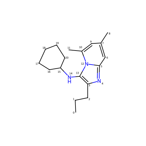 CCCc1nc2cc(C)cc(C)n2c1NC1CCCCC1